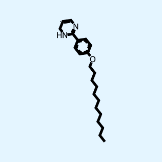 CCCCCCCCCCCCOc1ccc(C2=NC=[C]CN2)cc1